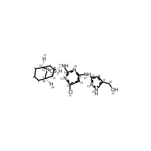 O=C(O)N1[C@@H]2CCC[C@H]1C[C@H](Nc1nc(Cl)cc(Nc3cc(CO)[nH]n3)n1)C2